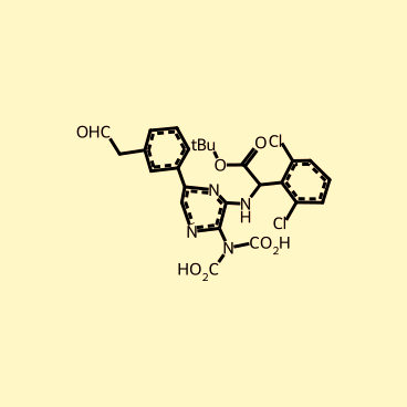 CC(C)(C)OC(=O)C(Nc1nc(-c2cccc(CC=O)c2)cnc1N(C(=O)O)C(=O)O)c1c(Cl)cccc1Cl